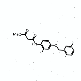 COC(=O)CC(=O)Nc1ccc(OCc2cccc(F)c2)cc1F